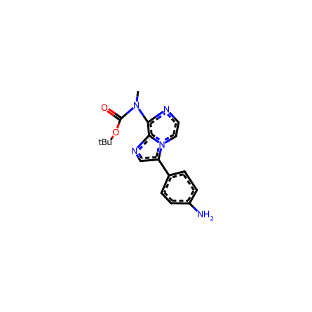 CN(C(=O)OC(C)(C)C)c1nccn2c(-c3ccc(N)cc3)cnc12